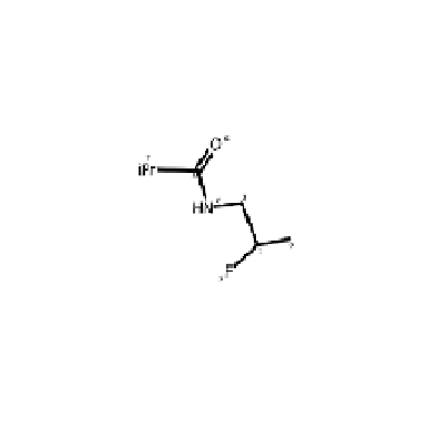 CC(F)CNC(=O)C(C)C